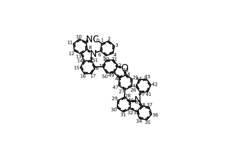 N#Cc1ccccc1-n1c2ccccc2c2cccc(-c3ccc4oc5ccc(-c6cccc7c8ccccc8n(-c8ccccc8)c67)cc5c4c3)c21